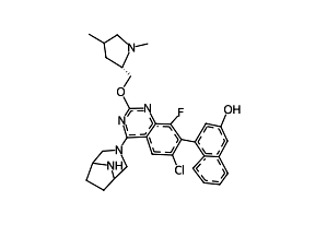 CC1C[C@@H](COc2nc(N3CC4CCC(C3)N4)c3cc(Cl)c(-c4cc(O)cc5ccccc45)c(F)c3n2)N(C)C1